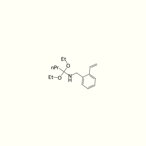 C=Cc1ccccc1CNC(CCC)(OCC)OCC